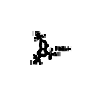 O=S(=O)(O)c1ccc2c(S(=O)(=O)O)cc(S(=O)(=O)O)cc2c1.[NaH].[NaH].[NaH]